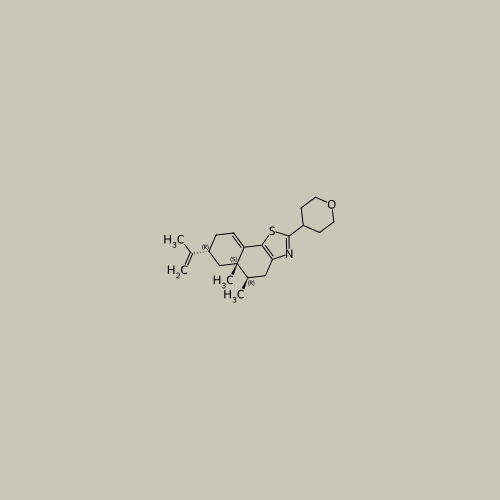 C=C(C)[C@@H]1CC=C2c3sc(C4CCOCC4)nc3C[C@@H](C)[C@]2(C)C1